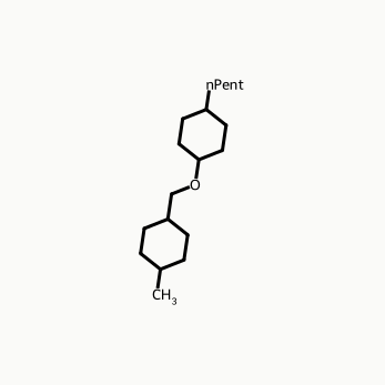 CCCCCC1CCC(OCC2CCC(C)CC2)CC1